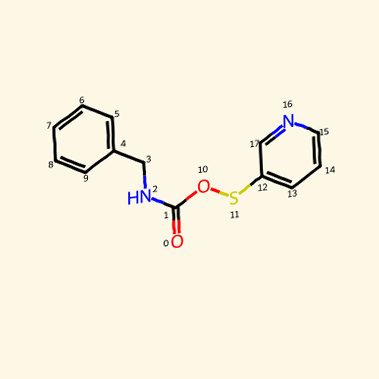 O=C(NCc1ccccc1)OSc1cccnc1